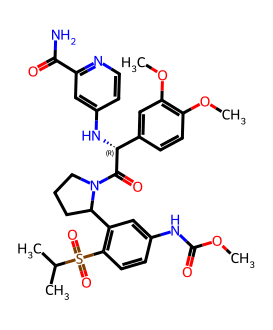 COC(=O)Nc1ccc(S(=O)(=O)C(C)C)c(C2CCCN2C(=O)[C@H](Nc2ccnc(C(N)=O)c2)c2ccc(OC)c(OC)c2)c1